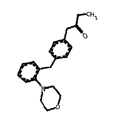 CCC(=O)Cc1ccc(Cc2ccccc2N2CCOCC2)cc1